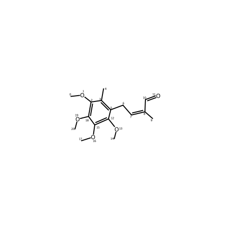 COc1c(C)c(CC=C(C)C=O)c(OC)c(OC)c1OC